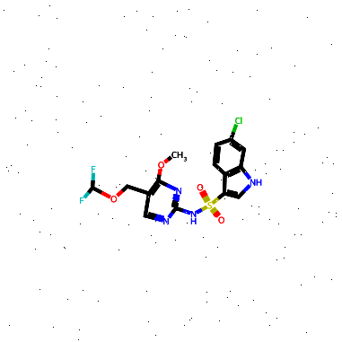 COc1nc(NS(=O)(=O)c2c[nH]c3cc(Cl)ccc23)ncc1COC(F)F